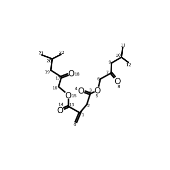 C=C(CC(=O)OCC(=O)CC(C)C)C(=O)OCC(=O)CC(C)C